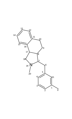 Cc1cccc(CC2C3CCc4ccccc4C3CN2C)c1